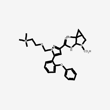 CC(C)(C)C12CC1CN(C(=O)O)C2NC(=O)c1cc(-c2ccccc2Oc2ccccc2)n(COCC[Si](C)(C)C)n1